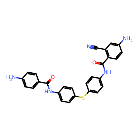 N#Cc1cc(N)ccc1C(=O)Nc1ccc(Sc2ccc(NC(=O)c3ccc(N)cc3)cc2)cc1